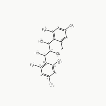 Cc1cc(C(F)(F)F)cc(C(F)(F)F)c1C(O)C(C#N)C(O)c1c(C(F)(F)F)cc(C(F)(F)F)cc1C(F)(F)F